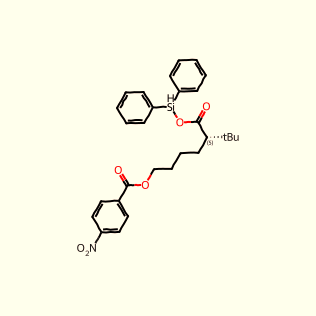 CC(C)(C)[C@H](CCCCOC(=O)c1ccc([N+](=O)[O-])cc1)C(=O)O[SiH](c1ccccc1)c1ccccc1